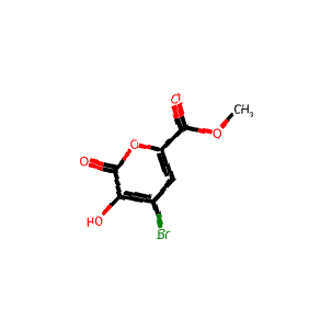 COC(=O)c1cc(Br)c(O)c(=O)o1